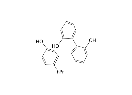 CCCc1ccc(O)cc1.Oc1ccccc1-c1ccccc1O